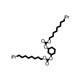 CC(C)CCCCCCCCOC(=O)OC1CCCC(OC(=O)OCCCCCCCCC(C)C)C1